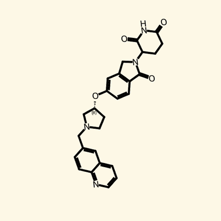 O=C1CCC(N2Cc3cc(O[C@@H]4CCN(Cc5ccc6ncccc6c5)C4)ccc3C2=O)C(=O)N1